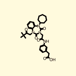 CC(C)(C)C(=O)CN1C(=O)N(CC(=O)Nc2cccc(CC(=O)O)c2)C(=O)N(C2CCCCCC2)c2ccccc21